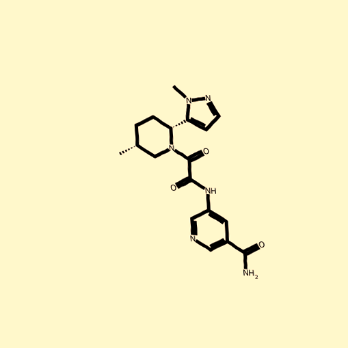 C[C@@H]1CC[C@H](c2ccnn2C)N(C(=O)C(=O)Nc2cncc(C(N)=O)c2)C1